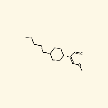 CCCCC[C@H]1CC[C@H](C(C=O)=COC)CC1